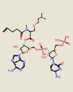 C=CCCC(=O)N(C)C(COCCC(C)C)C(=O)O[C@H]1[C@@H](O)[C@H](n2cnc3c(N)ncnc32)O[C@@H]1COP(=O)(O)O[C@H]1[C@@H](O)[C@H](n2ccc(N)nc2=O)O[C@@H]1COP(=O)(O)O